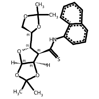 CC1(C)O[C@H]2O[C@H]([C@H]3COC(C)(C)O3)[C@@H](C(=S)Nc3cccc4ccccc34)[C@H]2O1